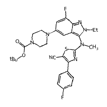 CCn1nc2c(F)cc(N3CCN(C(=O)OC(C)(C)C)CC3)cc2c1N(C)c1nc(-c2ccc(F)cc2)c(C#N)s1